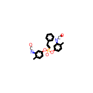 Cc1ccc(OP(=O)(C=Cc2ccccc2)Oc2ccc(C)c(N=C=O)c2)cc1N=C=O